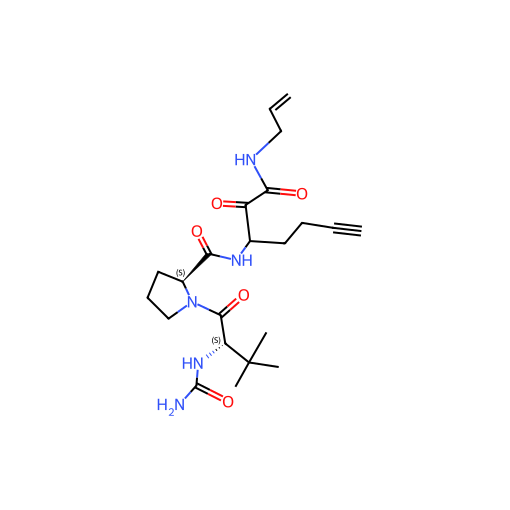 C#CCCC(NC(=O)[C@@H]1CCCN1C(=O)[C@@H](NC(N)=O)C(C)(C)C)C(=O)C(=O)NCC=C